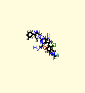 NC(=O)c1nc(N2CCC(N)(c3ccccc3)CC2)nc2[nH]nc(-c3ccc4nn(C(F)F)cc4c3Cl)c12